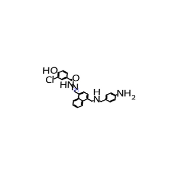 Nc1ccc(CNCc2ccc(/C=N/NC(=O)c3ccc(O)c(Cl)c3)c3ccccc23)cc1